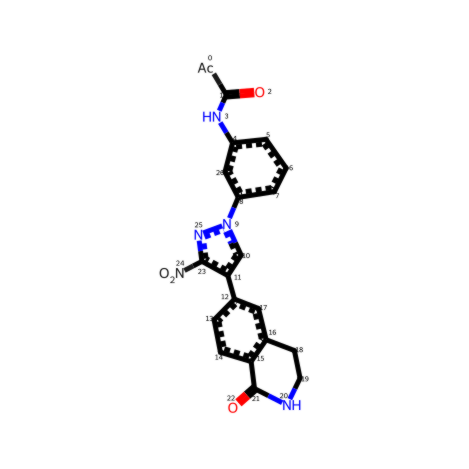 CC(=O)C(=O)Nc1cccc(-n2cc(-c3ccc4c(c3)CCNC4=O)c([N+](=O)[O-])n2)c1